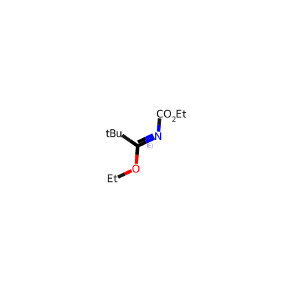 CCOC(=O)/N=C(/OCC)C(C)(C)C